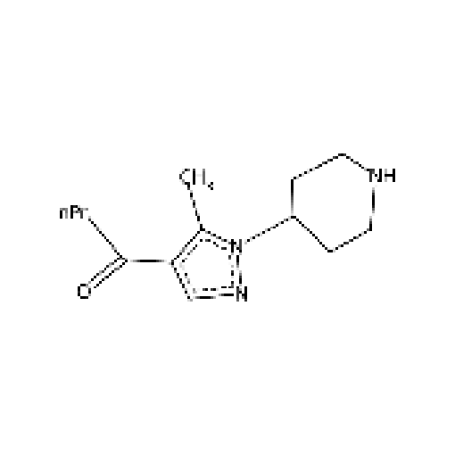 CCCC(=O)c1cnn(C2CCNCC2)c1C